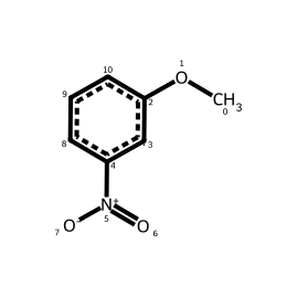 COc1[c]c([N+](=O)[O-])ccc1